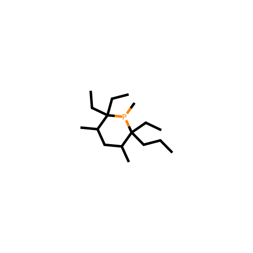 CCCC1(CC)C(C)CC(C)C(CC)(CC)P1C